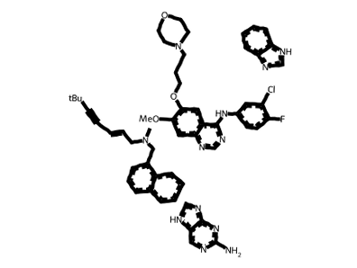 CN(C/C=C/C#CC(C)(C)C)Cc1cccc2ccccc12.COc1cc2ncnc(Nc3ccc(F)c(Cl)c3)c2cc1OCCCN1CCOCC1.Nc1ncc2[nH]cnc2n1.c1ccc2[nH]cnc2c1